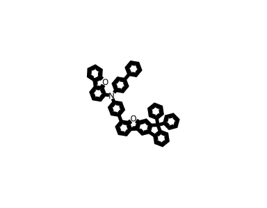 c1ccc(-c2ccc(N(c3ccc(-c4cccc5c4oc4cc6c(cc45)-c4ccccc4C6(c4ccccc4)c4ccccc4)cc3)c3cccc4c3oc3ccccc34)cc2)cc1